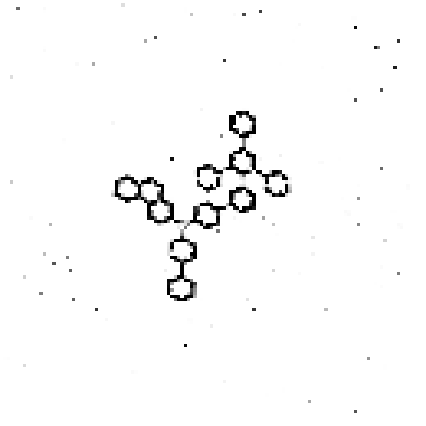 c1ccc(-c2ccc(N(c3ccc(-c4cccc(-c5c(-c6ccccc6)cc(-c6ccccc6)cc5-c5ccccc5)c4)cc3)c3ccc4c(ccc5ccccc54)c3)cc2)cc1